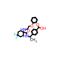 C[C@H](NC(=O)C1(NCCOc2ccccc2)CCC(F)(F)CC1)c1ccc(C(=O)O)cc1